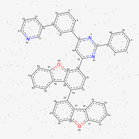 c1ccc(-c2nc(-c3cccc(-c4cccnc4)c3)cc(-c3ccc(-c4cccc5oc6ccccc6c45)c4c3oc3ccccc34)n2)cc1